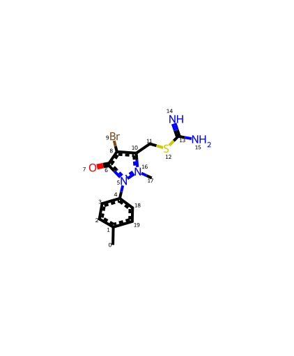 Cc1ccc(-n2c(=O)c(Br)c(CSC(=N)N)n2C)cc1